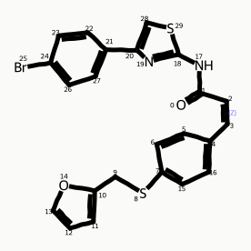 O=C(/C=C\c1ccc(SCc2ccco2)cc1)Nc1nc(-c2ccc(Br)cc2)cs1